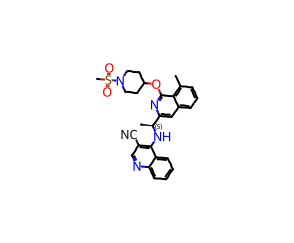 Cc1cccc2cc([C@H](C)Nc3c(C#N)cnc4ccccc34)nc(OC3CCN(S(C)(=O)=O)CC3)c12